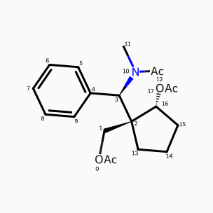 CC(=O)OC[C@]1([C@@H](c2ccccc2)N(C)C(C)=O)CCC[C@H]1OC(C)=O